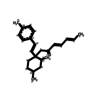 CC=CC=CC(=O)CC1(C=Cc2ccc(C)cc2)CCC(C)CC1C